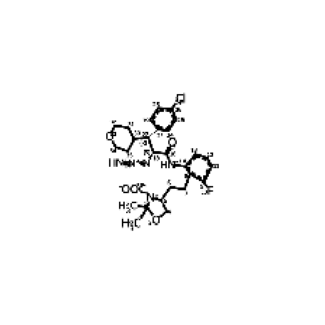 CC1(C)OCC(CCc2c(F)cccc2NC(=O)[C@@H](N=[N+]=N)[C@@H](c2ccc(Cl)cc2)C2CCOCC2)N1C(=O)[O-]